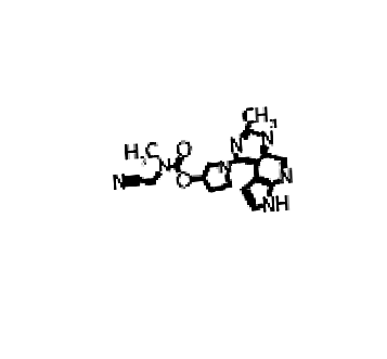 Cc1nc(N2CCC(OC(=O)N(C)CC#N)C2)c2c(cnc3[nH]ccc32)n1